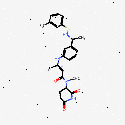 C/C(=C\C(=O)N(C=O)C1CCC(=O)NC1=O)Nc1cccc(C(C)NSc2cccc(C(F)(F)F)c2)c1